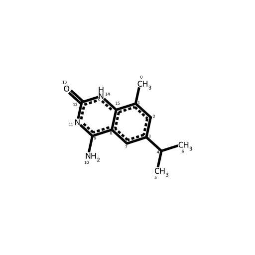 Cc1cc(C(C)C)cc2c(N)nc(=O)[nH]c12